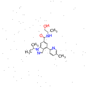 Cc1ccc(-c2cc(C(=O)N[C@@H](C)CO)cc3c2cnn3C(C)C)nc1